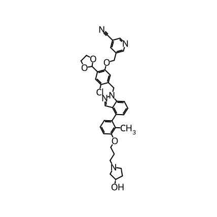 Cc1c(OCCCN2CC[C@@H](O)C2)cccc1-c1cccc2c1cnn2Cc1cc(OCc2cncc(C#N)c2)c(C2OCCO2)cc1Cl